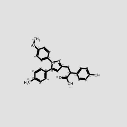 COc1ccc(-n2nc(CC(C(=O)O)c3ccc(Cl)cc3)cc2-c2ccc(C)cc2)cc1